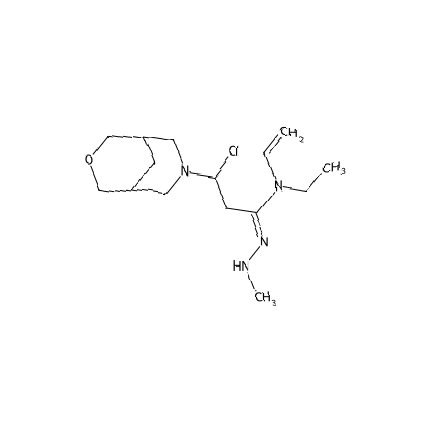 C=CN(CC)/C(CC(Cl)N1CC2COCC(C2)C1)=N/NC